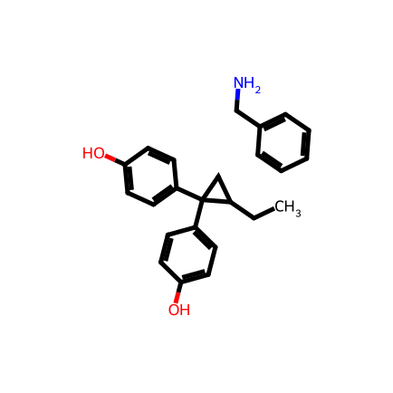 CCC1CC1(c1ccc(O)cc1)c1ccc(O)cc1.NCc1ccccc1